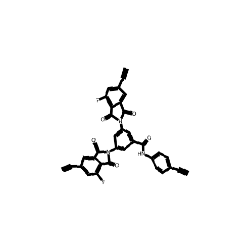 C#Cc1ccc(NC(=O)c2cc(N3C(=O)c4cc(C#C)cc(F)c4C3=O)cc(N3C(=O)c4cc(C#C)cc(F)c4C3=O)c2)cc1